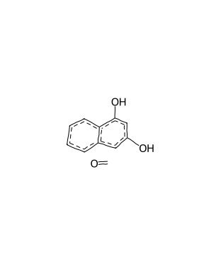 C=O.Oc1cc(O)c2ccccc2c1